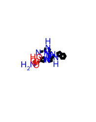 C1CNCCN1.CC#N.NS(=O)(=O)OC[C@@H]1C[C@@H](n2ccc3c(N[C@H]4CCc5ccccc54)ncnc32)C[C@@H]1O